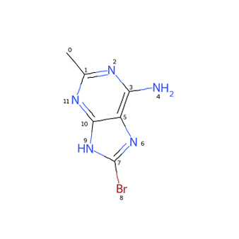 Cc1nc(N)c2nc(Br)[nH]c2n1